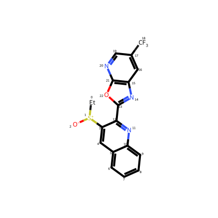 CC[S+]([O-])c1cc2ccccc2nc1-c1nc2cc(C(F)(F)F)cnc2o1